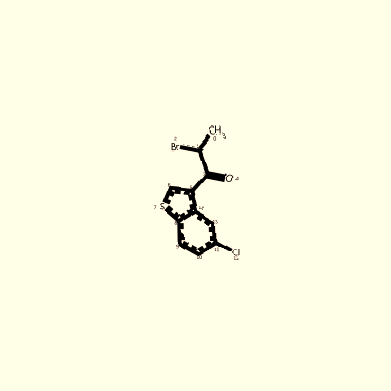 CC(Br)C(=O)c1csc2ccc(Cl)cc12